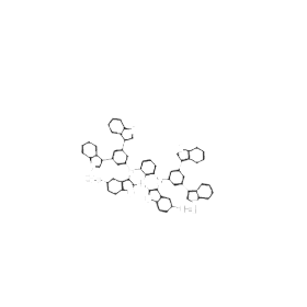 CC(C)(C)c1ccc2oc3c(c2c1)N(c1cc(-c2csc4ccccc24)cc(-c2csc4ccccc24)c1)c1cccc2c1B3c1oc3ccc(C(C)(C)C)cc3c1N2c1cc(-c2csc3ccccc23)cc(-c2csc3ccccc23)c1